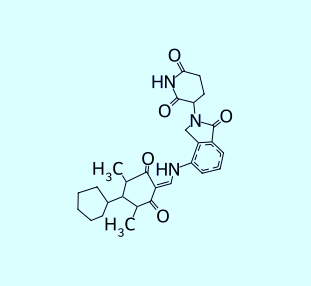 CC1C(=O)C(=CNc2cccc3c2CN(C2CCC(=O)NC2=O)C3=O)C(=O)C(C)C1C1CCCCC1